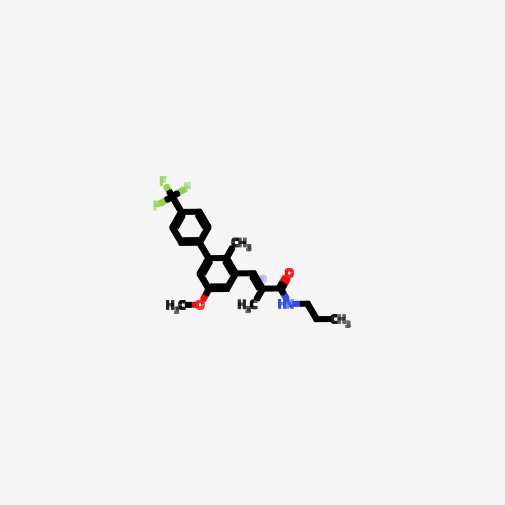 CCCNC(=O)/C(C)=C/c1cc(OC)cc(-c2ccc(C(F)(F)F)cc2)c1C